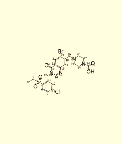 CCS(=O)(=O)c1ccc(Cl)cc1Cn1cnc2cc(CN3CCN(C(=O)O)CC3)c(Br)cc2c1=O